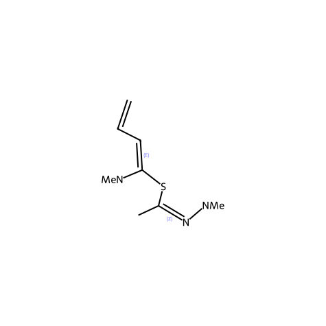 C=C/C=C(\NC)S/C(C)=N\NC